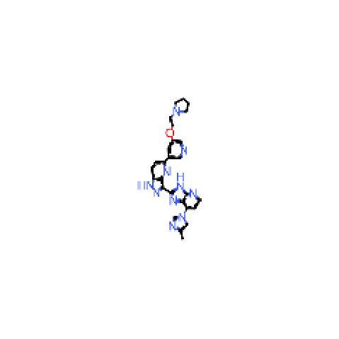 Cc1cn(-c2ccnc3[nH]c(-c4n[nH]c5ccc(-c6cncc(OCCN7CCCC7)c6)nc45)nc23)cn1